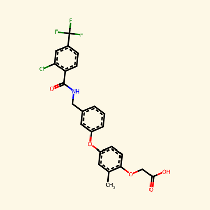 Cc1cc(Oc2cccc(CNC(=O)c3ccc(C(F)(F)F)cc3Cl)c2)ccc1OCC(=O)O